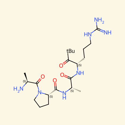 C[C@H](N)C(=O)N1CCC[C@H]1C(=O)N[C@@H](C)C(=O)N[C@@H](CCCNC(=N)N)C(=O)C(C)(C)C